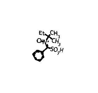 CCC(C)(C)[N+]([O-])=C(c1ccccc1)S(=O)(=O)O